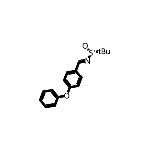 CC(C)(C)[S+]([O-])/N=C/c1ccc(Oc2ccccc2)cc1